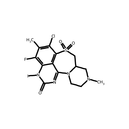 Cc1c(Cl)c2c3c(nc(=O)n(I)c3c1F)N1CCN(C)CC1CS2(=O)=O